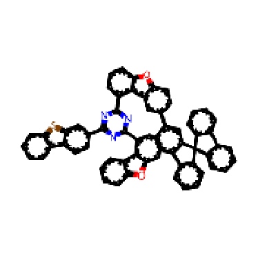 c1ccc2c(c1)-c1ccccc1C21c2ccccc2-c2ccc(-c3ccc4oc5cccc(-c6nc(-c7ccc8c(c7)sc7ccccc78)nc(-c7cccc8oc9ccccc9c78)n6)c5c4c3)cc21